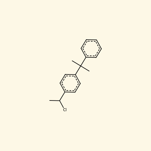 CC(Cl)c1ccc(C(C)(C)c2ccccc2)cc1